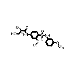 CCOc1cc(NC(=O)[C@@H](CO)C(C)CC)ccc1S(=O)(=O)Nc1cccc(OC(F)(F)F)c1